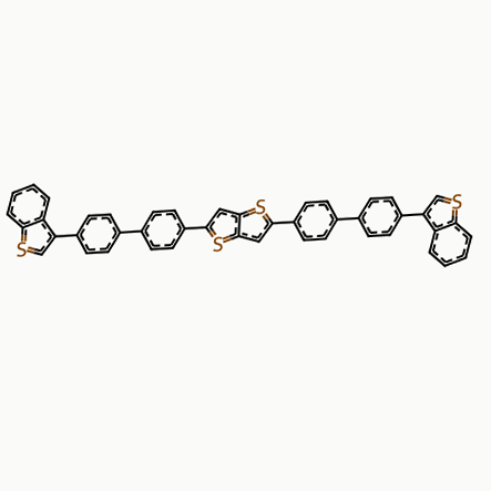 c1ccc2c(-c3ccc(-c4ccc(-c5cc6sc(-c7ccc(-c8ccc(-c9csc%10ccccc9%10)cc8)cc7)cc6s5)cc4)cc3)csc2c1